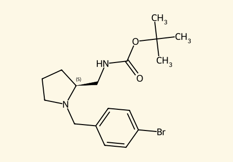 CC(C)(C)OC(=O)NC[C@@H]1CCCN1Cc1ccc(Br)cc1